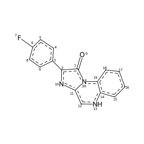 O=c1c(-c2ccc(F)cc2)nc2c[nH]c3ccccc3n1-2